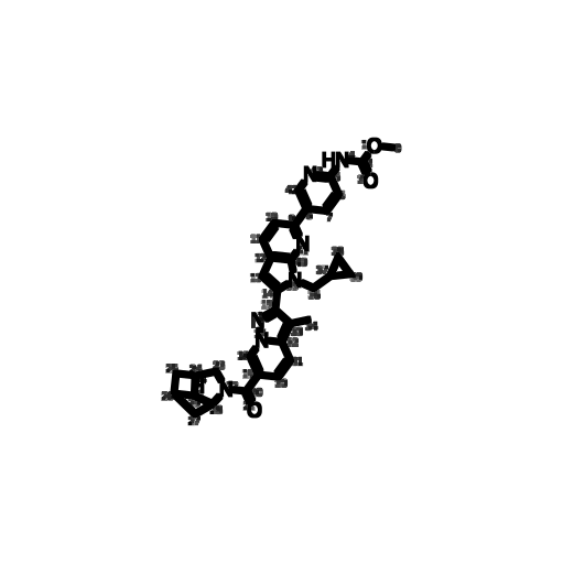 COC(=O)Nc1ccc(-c2ccc3cc(-c4nn5cc(C(=O)N6CC7CC8CC6[C@H]87)ccc5c4C)n(CC4CC4)c3n2)cn1